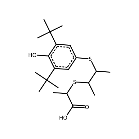 CC(SC(C)C(C)Sc1cc(C(C)(C)C)c(O)c(C(C)(C)C)c1)C(=O)O